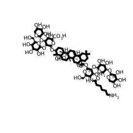 C[C@@H]1O[C@@H](O[C@H]2[C@H](OC(=O)[C@]34CCC(C)(C)C[C@H]3C3=CC[C@@H]5[C@@]6(C)CC[C@H](O[C@@H]7O[C@H](C(=O)O)[C@@H](O)[C@H](O[C@@H]8OC[C@@H](O)[C@H](O)[C@H]8O)[C@H]7O[C@@H]7O[C@H](CO)[C@H](O)[C@H](O)[C@H]7O)[C@@](C)(C=O)[C@@H]6CC[C@@]5(C)[C@]3(C)C[C@H]4O)O[C@H](CO)[C@H](NC(=O)CCCCCN)[C@@H]2O)[C@H](O)[C@H](O)[C@H]1O[C@@H]1OC[C@@H](O)[C@H](O)[C@H]1O